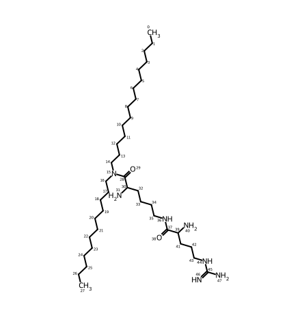 CCCCCCCCCCCCCCCN(CCCCCCCCCCCC)C(=O)C(N)CCCCNC(=O)C(N)CCCNC(=N)N